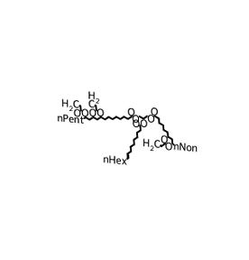 C=CC(=O)OC(CCCCCCCCC)CCCCCCCC(=O)OCC(COC(=O)CCCCCCCC(CCCC(CCCCC)OC(=O)C=C)OC(=O)C=C)OC(=O)CCCCCCCC=CCCCCCC